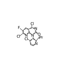 CC(C)c1nccc(Cl)c1-n1c(=O)nc(Cl)c2cc(F)c(Cl)nc21